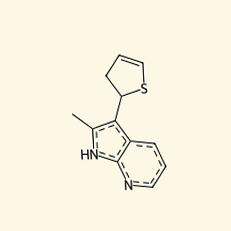 Cc1[nH]c2ncccc2c1C1CC=CS1